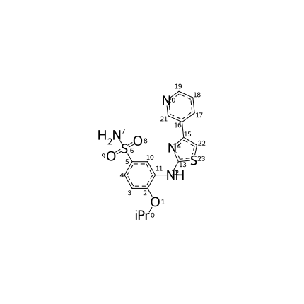 CC(C)Oc1ccc(S(N)(=O)=O)cc1Nc1nc(-c2cccnc2)cs1